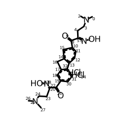 CN(C)CCC(=NO)C(=O)c1ccc2c(c1)Cc1cc(C(=O)C(CCN(C)C)=NO)ccc1-2.Cl.Cl